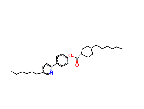 CCCCCCc1ccc(-c2ccc(OC(=O)[C@H]3CC[C@H](CCCCCC)CC3)cc2)nc1